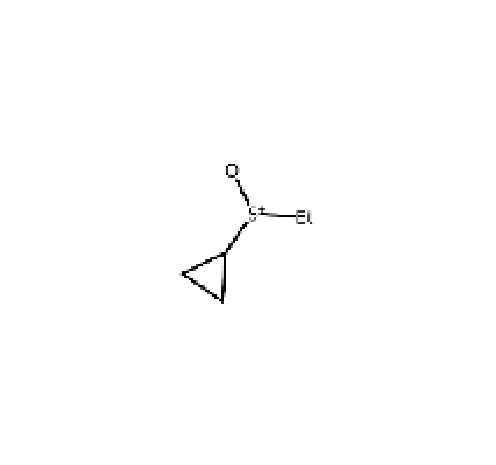 CC[S+]([O-])C1CC1